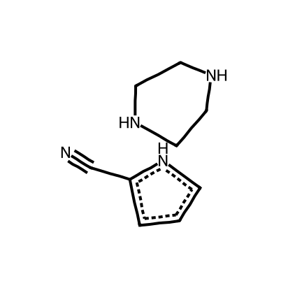 C1CNCCN1.N#Cc1ccc[nH]1